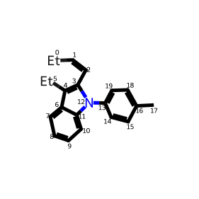 CC/C=C\c1c(CC)c2ccccc2n1-c1ccc(C)cc1